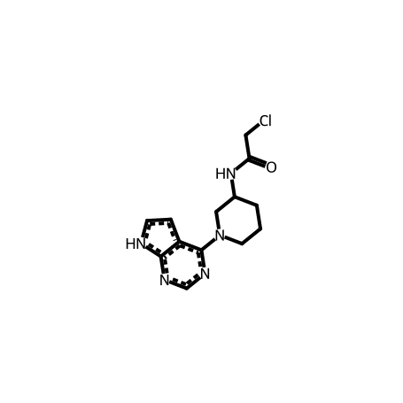 O=C(CCl)NC1CCCN(c2ncnc3[nH]ccc23)C1